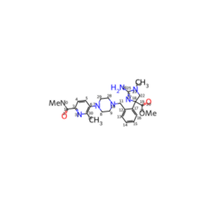 CNC(=O)c1ccc(N2CCN(Cc3ccccc3C3(C(=O)OC)CN(C)C(N)=N3)CC2)c(C)n1